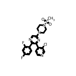 CS(=O)(=O)N1CCN(c2cnc(-c3ccc(F)cc3F)c(-c3ccncc3Cl)n2)CC1